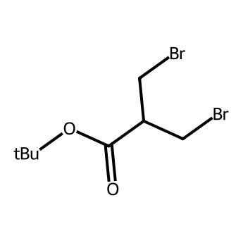 CC(C)(C)OC(=O)C(CBr)CBr